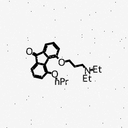 CCCOc1cccc2c1-c1c(OCCCN(CC)CC)cccc1C2=O